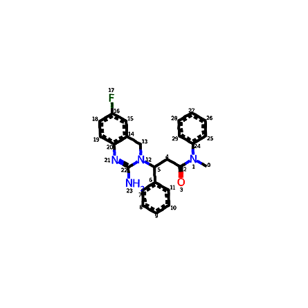 CN(C(=O)CC(c1ccccc1)N1Cc2cc(F)ccc2N=C1N)c1ccccc1